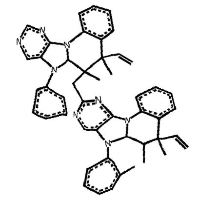 C=CC1(C)c2ccccc2N2c3nc(CC4(C)C5N(c6ccccc6)c6cncnc6N5c5ccccc5C4(C)C=C)ncc3N(c3ccccc3C)C2C1C